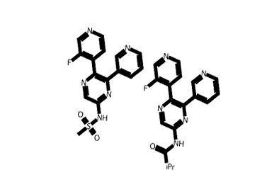 CC(C)C(=O)Nc1cnc(-c2ccncc2F)c(-c2cccnc2)n1.CS(=O)(=O)Nc1cnc(-c2ccncc2F)c(-c2cccnc2)n1